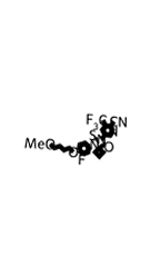 COCCCCOc1ccc(N2C(=S)N(c3cnc(C#N)c(C(F)(F)F)c3)C(=O)C23CCC3)cc1F